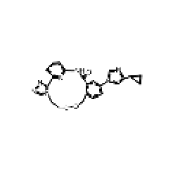 O=C1Nc2cccc(n2)-c2nncn2CCCOCc2ccc(-n3cnc(C4CC4)c3)cc21